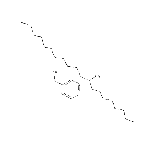 CCCCCCCCCCCC(O)CCCCCCCC.OCc1ccccc1